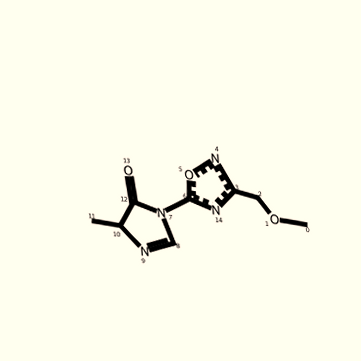 COCc1noc(N2C=NC(C)C2=O)n1